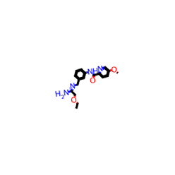 CCOC/C(N)=N\Cc1cccc(NC(=O)c2ccc(OC)cn2)c1